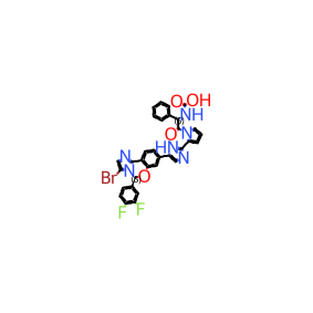 O=C(O)N[C@H](C(=O)n1cccc1-c1ncc(-c2ccc3c(c2)O[C@@H](c2ccc(F)c(F)c2)n2c(Br)cnc2-3)[nH]1)c1ccccc1